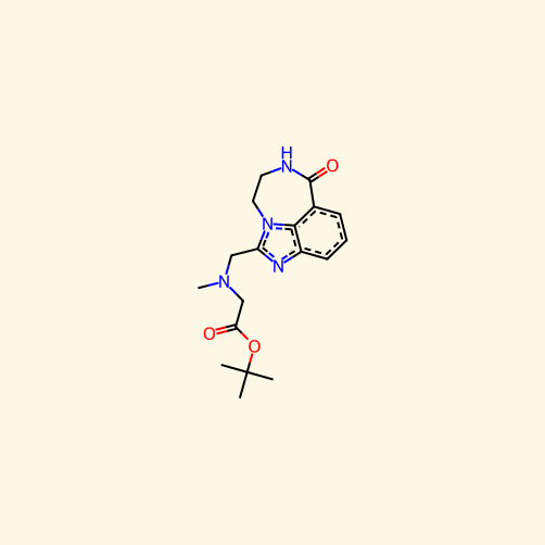 CN(CC(=O)OC(C)(C)C)Cc1nc2cccc3c2n1CCNC3=O